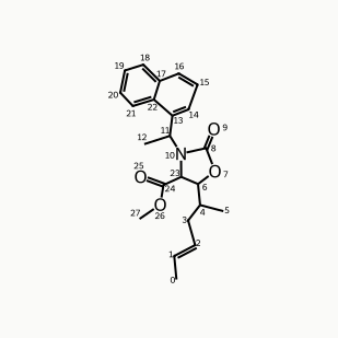 CC=CCC(C)C1OC(=O)N(C(C)c2cccc3ccccc23)C1C(=O)OC